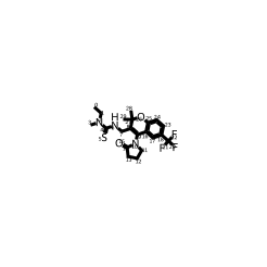 CCN(C)C(=S)NCC1=C(N2CCCC2=O)c2cc(C(F)(F)F)ccc2OC1(C)C